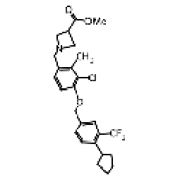 COC(=O)C1CN(Cc2ccc(OCc3ccc(C4CCCC4)c(C(F)(F)F)c3)c(Cl)c2C)C1